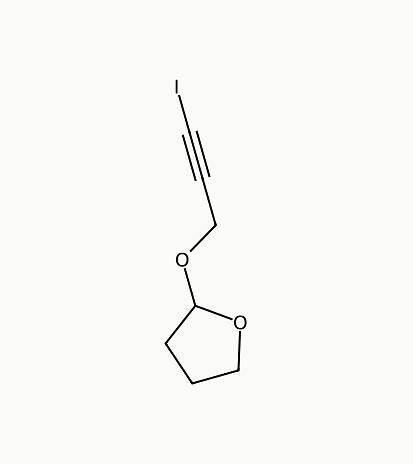 IC#CCOC1CCCO1